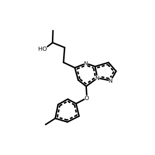 Cc1ccc(Oc2cc(CCC(C)O)nc3ccnn23)cc1